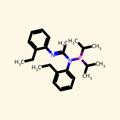 CCc1ccccc1/N=C(\C)N(c1ccccc1CC)P(C(C)C)C(C)C